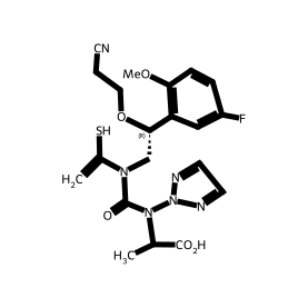 C=C(S)N(C[C@H](OCCC#N)c1cc(F)ccc1OC)C(=O)N(C(C)C(=O)O)n1nccn1